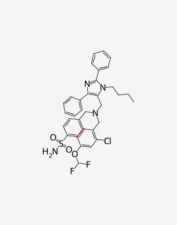 CCCCn1c(-c2ccccc2)nc(-c2ccccc2)c1CN(Cc1ccc(S(N)(=O)=O)cc1)Cc1ccc(OC(F)F)cc1Cl